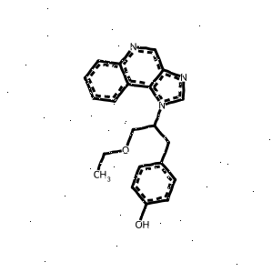 CCOCC(Cc1ccc(O)cc1)n1cnc2cnc3ccccc3c21